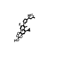 CCCC(N)C1CCN(c2c(F)cn3c(=O)c(OC(=O)O)cc(C4CC4)c3c2C)C1